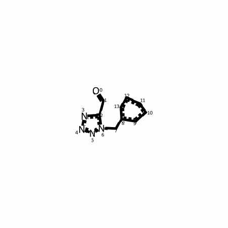 O=Cc1nnnn1Cc1ccccc1